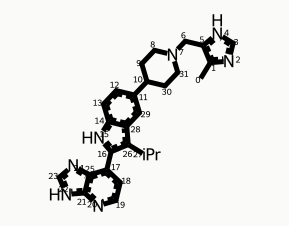 Cc1nc[nH]c1CN1CCC(c2ccc3[nH]c(-c4ccnc5[nH]cnc45)c(C(C)C)c3c2)CC1